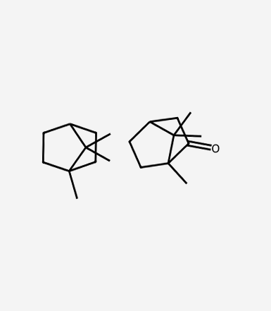 CC12CCC(CC1)C2(C)C.CC12CCC(CC1=O)C2(C)C